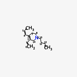 C=CC1=C(/C=C\C)CCN(CCCC)C1